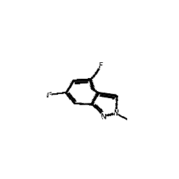 Cn1cc2c(F)cc(F)cc2n1